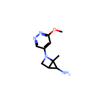 COc1cc(N2CC3C(N)C32C)cnn1